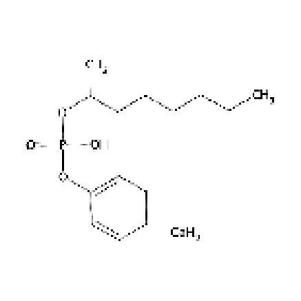 CCCCCCC(C)OP(=O)(O)Oc1ccccc1.[CaH2]